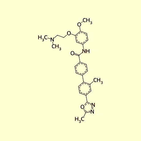 COc1ccc(NC(=O)c2ccc(-c3ccc(-c4nnc(C)o4)cc3C)cc2)cc1OCCN(C)C